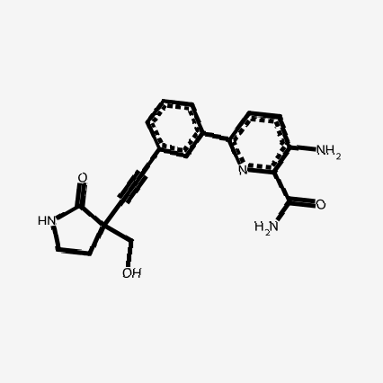 NC(=O)c1nc(-c2cccc(C#CC3(CO)CCNC3=O)c2)ccc1N